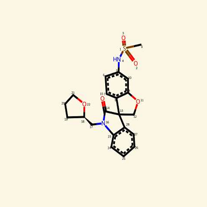 CS(=O)(=O)Nc1ccc2c(c1)OCC21C(=O)N(C[C@H]2CCCO2)c2ccccc21